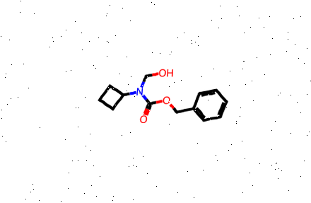 O=C(OCc1ccccc1)N(CO)C1CCC1